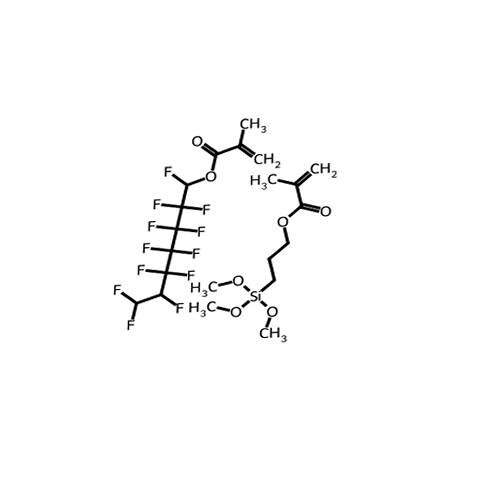 C=C(C)C(=O)OC(F)C(F)(F)C(F)(F)C(F)(F)C(F)(F)C(F)C(F)F.C=C(C)C(=O)OCCC[Si](OC)(OC)OC